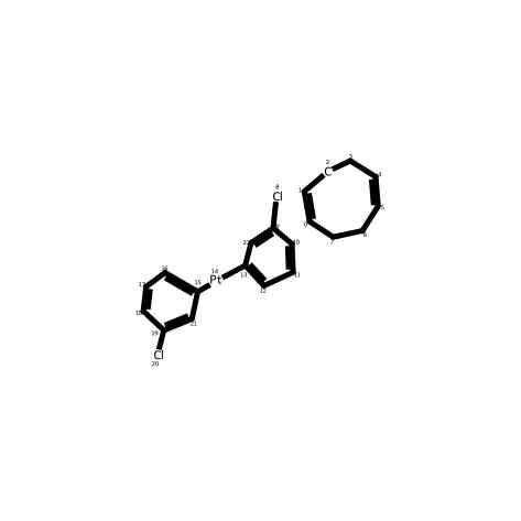 C1=CCCC=CCC1.Clc1ccc[c]([Pt][c]2cccc(Cl)c2)c1